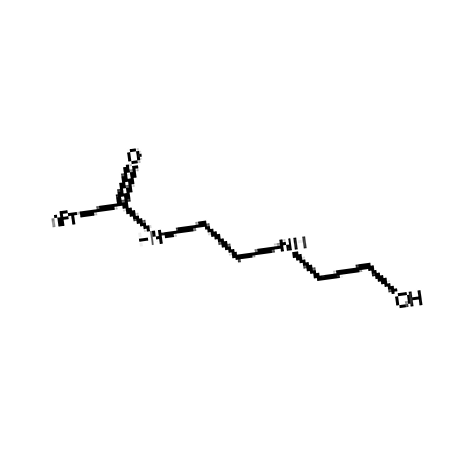 CCCC(=O)NCCNCCO